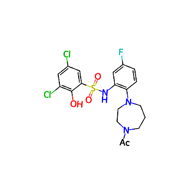 CC(=O)N1CCCN(c2ccc(F)cc2NS(=O)(=O)c2cc(Cl)cc(Cl)c2O)CC1